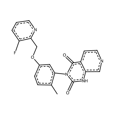 Cc1ccc(OCc2ncccc2F)cc1-n1c(=O)[nH]c2cnccc2c1=O